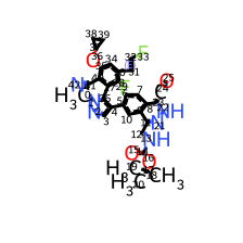 Cn1ncc(-c2ccc3c(c2)C(CNC(=O)OC(C)(C)C)=NNC3=C=O)c1-c1c(F)c(/C=C/F)cc(OC2CC2)c1C#N